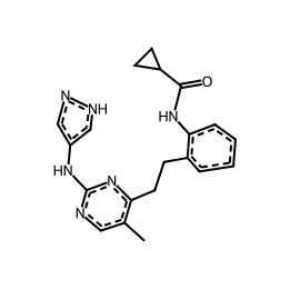 Cc1cnc(Nc2cn[nH]c2)nc1CCc1ccccc1NC(=O)C1CC1